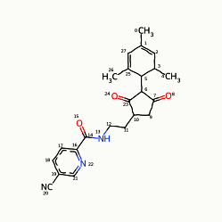 CC1=CC(C)C(C2C(=O)CC(CCNC(=O)c3ccc(C#N)cn3)C2=O)C(C)=C1